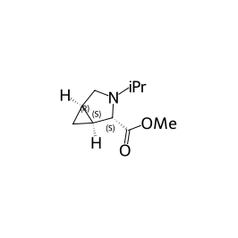 COC(=O)[C@@H]1[C@H]2C[C@H]2CN1C(C)C